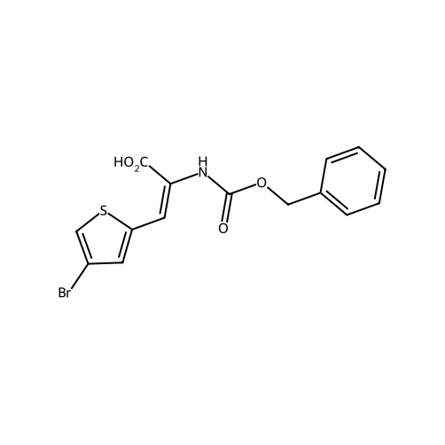 O=C(NC(=Cc1cc(Br)cs1)C(=O)O)OCc1ccccc1